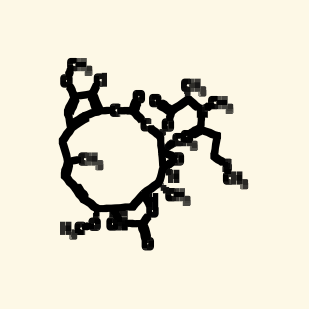 COc1cc2cc(c1Cl)CC(=O)C[C@H](OC(=O)[C@H](C)N(C)C(=O)CCSC)[C@]1(C)O[C@H]1[C@H](C)[C@@H]1C[C@@](O)(NC(=O)O1)[C@H](OC)/C=C/C=C(\C)C2